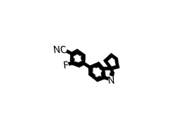 N#Cc1ccc(-c2ccc3c(c2)C2(C=N3)CCCC2)cc1F